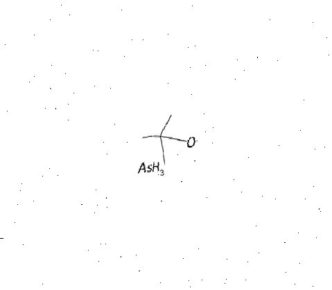 CC(C)(C)[O].[AsH3]